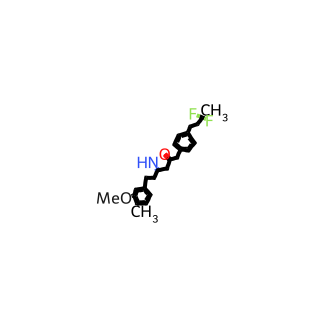 COc1cc(CCC(=N)CC(=O)Cc2ccc(CCC(C)(F)F)cc2)ccc1C